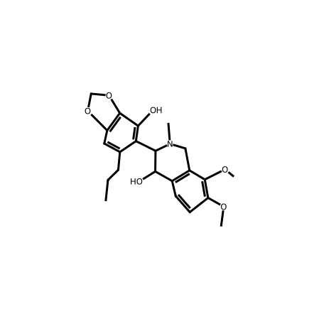 CCCc1cc2c(c(O)c1C1C(O)c3ccc(OC)c(OC)c3CN1C)OCO2